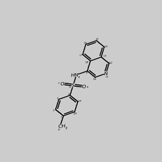 Cc1ccc(S(=O)(=O)Nc2cn[c]c3ccccc23)cc1